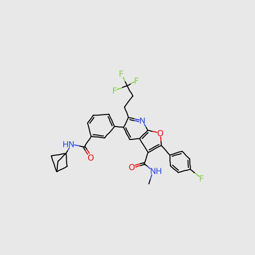 CNC(=O)c1c(-c2ccc(F)cc2)oc2nc(CCC(F)(F)F)c(-c3cccc(C(=O)NC45CC(C4)C5)c3)cc12